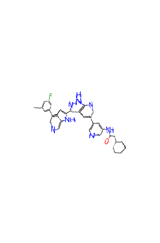 Cc1cc(F)cc(-c2cncc3[nH]c(-c4n[nH]c5ncc(-c6cncc(NC(=O)CC7CCCCC7)c6)cc45)cc23)c1